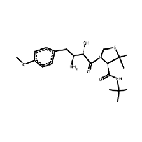 COc1ccc(C[C@H](N)[C@H](O)C(=O)N2CSC(C)(C)[C@H]2C(=O)NC(C)(C)C)cc1